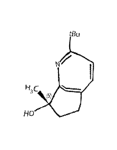 CC(C)(C)c1ccc2c(n1)[C@@](C)(O)CC2